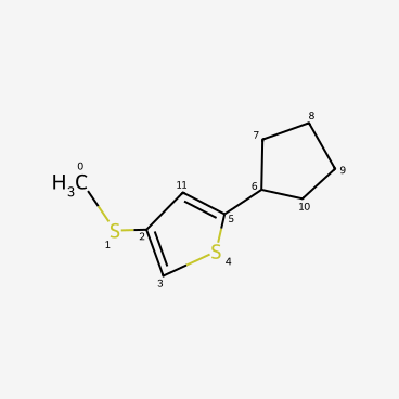 CSc1csc(C2CCCC2)c1